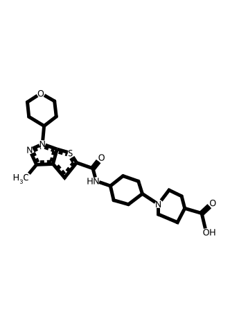 Cc1nn(C2CCOCC2)c2sc(C(=O)NC3CCC(N4CCC(C(=O)O)CC4)CC3)cc12